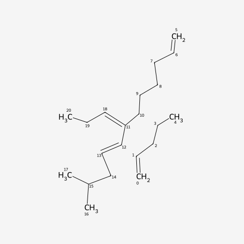 C=CCCC.C=CCCCCC(C=CCC(C)C)=CCC